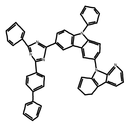 C1=Cc2c(c3cccnc3n2-c2ccc3c(c2)c2cc(-c4nc(-c5ccccc5)nc(-c5ccc(-c6ccccc6)cc5)n4)ccc2n3-c2ccccc2)CC1